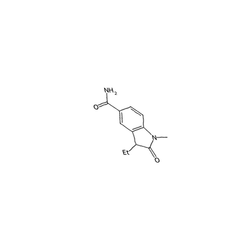 CCC1C(=O)N(C)c2ccc(C(N)=O)cc21